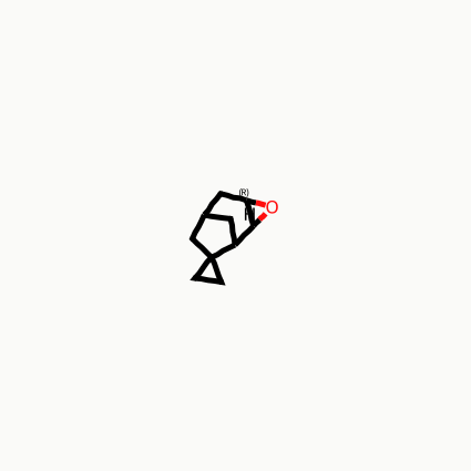 C1C2C[C@H]3OC3C1C1(CC1)C2